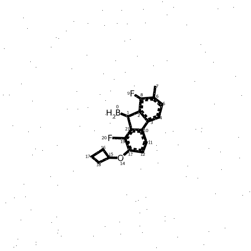 BC1c2c(ccc(C)c2F)-c2ccc(OC3CCC3)c(F)c21